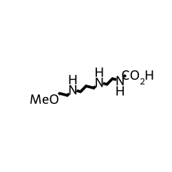 COCCNCCCNCCNC(=O)O